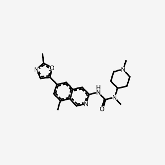 Cc1ncc(-c2cc(C)c3cnc(NC(=O)N(C)C4CCN(C)CC4)cc3c2)o1